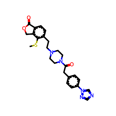 CSc1c(CCN2CCN(C(=O)Cc3ccc(-n4cncn4)cc3)CC2)ccc2c1COC2=O